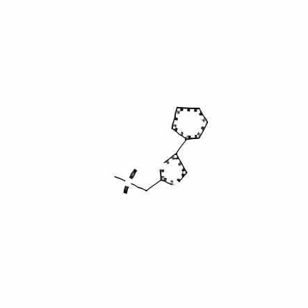 [CH2]S(=O)(=O)Cc1ncc(-c2ccccc2)o1